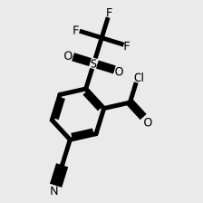 N#Cc1ccc(S(=O)(=O)C(F)(F)F)c(C(=O)Cl)c1